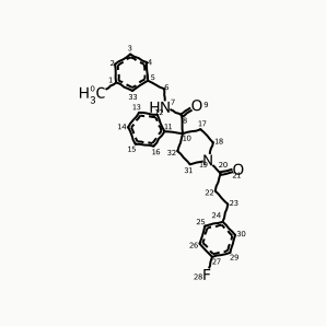 Cc1cccc(CNC(=O)C2(c3ccccc3)CCN(C(=O)CCc3ccc(F)cc3)CC2)c1